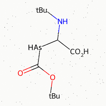 CC(C)(C)NC([AsH]C(=O)OC(C)(C)C)C(=O)O